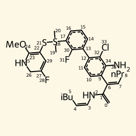 C=C(N/C=C\C(C)CC)/C(=C/CCC)c1ccc(-c2cccc(S(C)(C)SC3=C(OC)NCC(F)=C3)c2F)c(Cl)c1N